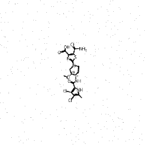 CO[C@H]1CN(c2nc(C(=O)O)c(C(N)=O)s2)CC[C@H]1NC(=O)c1[nH]c(C)c(Cl)c1Cl